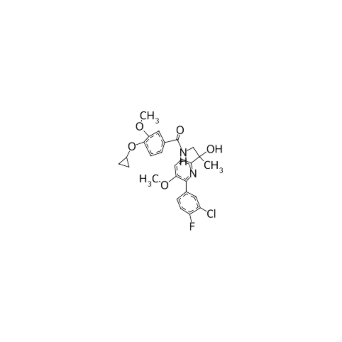 COc1cc(C(=O)NCC(C)(O)c2ccc(OC)c(-c3ccc(F)c(Cl)c3)n2)ccc1OC1CC1